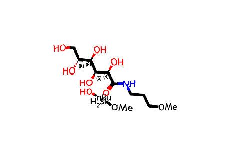 CCCCO.COCCCNC(=O)[C@H](O)[C@@H](O)[C@H](O)[C@H](O)CO.CO[SiH2]